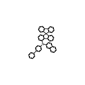 c1ccc(-c2ccc(N(c3ccc4ccccc4c3)c3cccc4c3-c3ccccc3C43c4ccccc4-c4ccccc43)cc2)cc1